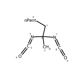 CCCCCCC(C)(N=C=O)N=C=O